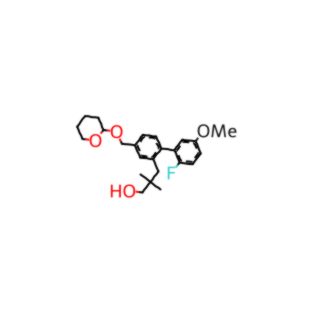 COc1ccc(F)c(-c2ccc(COC3CCCCO3)cc2CC(C)(C)CO)c1